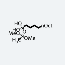 CCCCCCCCCCCC[Si](O)(O)O[Si](C)(OC)OC